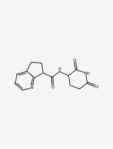 O=C1CCC(NC(=O)C2CCc3cccnc32)C(=O)N1